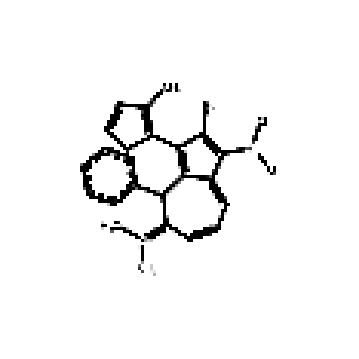 CCC1=[C]([Hf]([Cl])[Cl])C2=CC=CC(=[Si](C)C)C(c3ccccc3)C2=C1C1=C(C)C=CC1